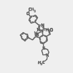 CCN1CCN(c2cc3c(c(NCc4ccccc4)c2)[N+]2(C#N)N=C(c4ccc(OC)cc4)N=C2C=C3)CC1.O